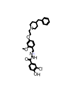 COc1cc(OCCN2CCC(Cc3ccccc3)CC2)ccc1/C=N/NC(=O)c1ccc(O)c(Cl)c1